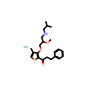 COC(CNCC(C)C)COc1c(C)csc1C(=O)CCc1ccccc1.Cl